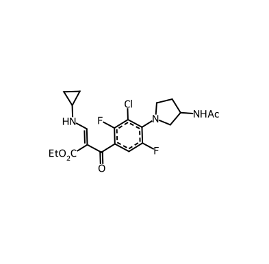 CCOC(=O)C(=CNC1CC1)C(=O)c1cc(F)c(N2CCC(NC(C)=O)C2)c(Cl)c1F